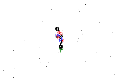 CC(=O)OC(c1noc(/C=C/c2ccc(C(F)(F)F)cc2)n1)[C@@H](NC(=O)OCc1ccccc1)C(C)C